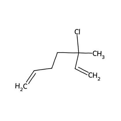 C=CCCC(C)(Cl)C=C